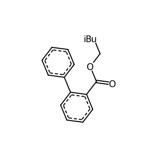 CCC(C)COC(=O)c1ccccc1-c1ccccc1